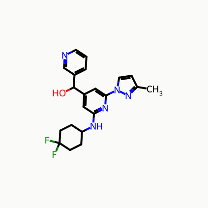 Cc1ccn(-c2cc(C(O)c3cccnc3)cc(NC3CCC(F)(F)CC3)n2)n1